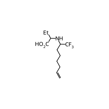 C=CCCCCC(NC(CC)C(=O)O)C(F)(F)F